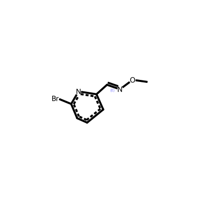 CO/N=C/c1cccc(Br)n1